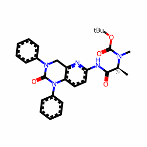 C[C@@H](C(=O)Nc1ccc2c(n1)CN(c1ccccc1)C(=O)N2c1ccccc1)N(C)C(=O)OC(C)(C)C